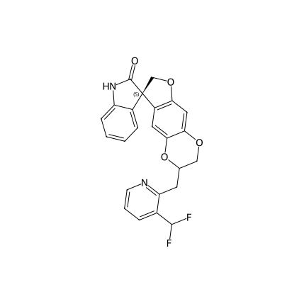 O=C1Nc2ccccc2[C@]12COc1cc3c(cc12)OC(Cc1ncccc1C(F)F)CO3